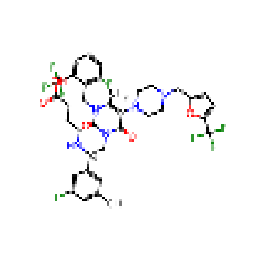 Cc1cc(F)cc([C@H](Cn2c(=O)c(N3CCN(Cc4ccc(C(F)(F)F)o4)CC3)c(C)n(Cc3c(F)cccc3C(F)(F)F)c2=O)NCCCC(=O)O)c1